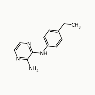 CCc1ccc(Nc2nccnc2N)cc1